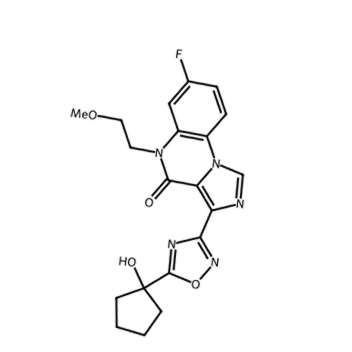 COCCn1c(=O)c2c(-c3noc(C4(O)CCCC4)n3)ncn2c2ccc(F)cc21